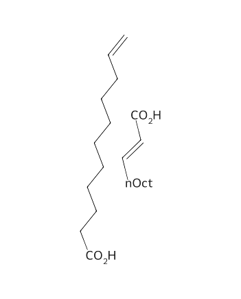 C=CCCCCCCCCC(=O)O.CCCCCCCCC=CC(=O)O